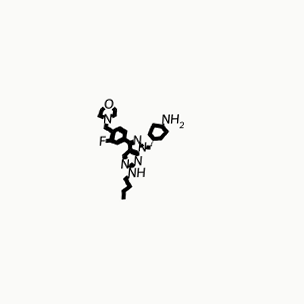 CCCCNc1ncc2c(-c3ccc(CN4CCOCC4)c(F)c3)nn(C[C@H]3CC[C@H](N)CC3)c2n1